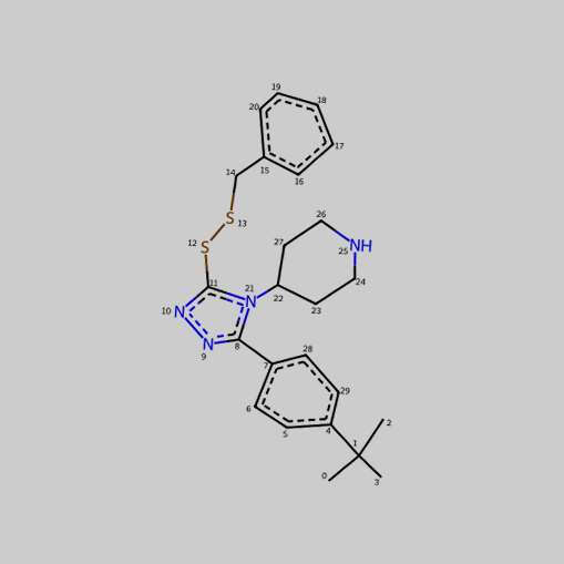 CC(C)(C)c1ccc(-c2nnc(SSCc3ccccc3)n2C2CCNCC2)cc1